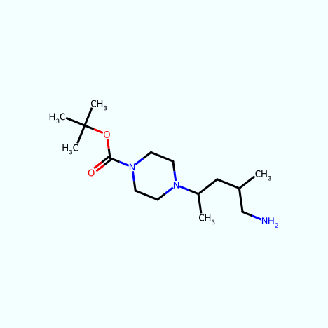 CC(CN)CC(C)N1CCN(C(=O)OC(C)(C)C)CC1